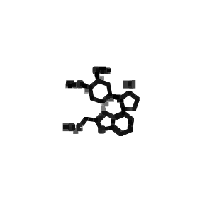 CO[C@H]1C[C@@H](N2CCCC2)[C@H](c2c(CC(=O)O)oc3ccccc23)C[C@H]1OC.Cl